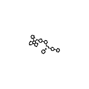 c1ccc(-c2ccc(-c3cc(-c4cccc(-c5ccc(-c6nc7ccccc7c7c8ccccc8c8ccccc8c67)cc5)c4)nc(-c4ccccc4)n3)cc2)cc1